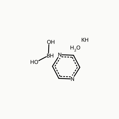 O.OBO.[KH].c1cnccn1